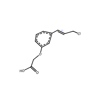 O=C(O)COc1cccc(/C=C/CCl)c1